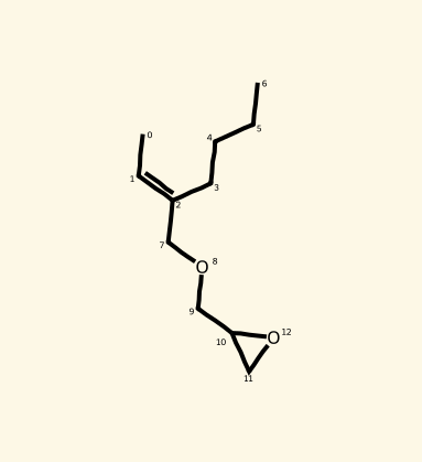 C/C=C(\CCCC)COCC1CO1